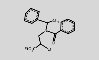 CCOC(=O)C(CC)CN(C(=O)c1ccccc1)C(c1ccccc1)C(F)(F)F